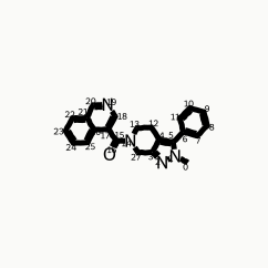 Cn1nc2c(c1-c1ccccc1)CCN(C(=O)c1cncc3ccccc13)C2